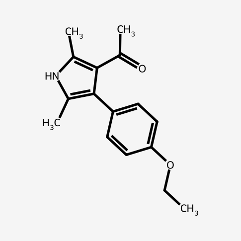 CCOc1ccc(-c2c(C)[nH]c(C)c2C(C)=O)cc1